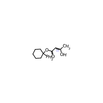 C/C(O)=C/C(=O)OC1(P)CCCCC1